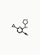 N#Cc1ccc(C2CC2)nc1NC1CCOC1